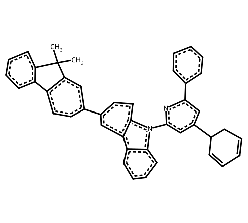 CC1(C)c2ccccc2-c2ccc(-c3ccc4c(c3)c3ccccc3n4-c3cc(C4C=CC=CC4)cc(-c4ccccc4)n3)cc21